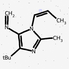 C=Nc1c(C(C)(C)C)nc(C)n1/C=C\C